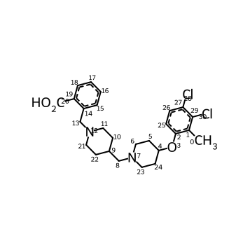 Cc1c(OC2CCN(CC3CCN(Cc4ccccc4C(=O)O)CC3)CC2)ccc(Cl)c1Cl